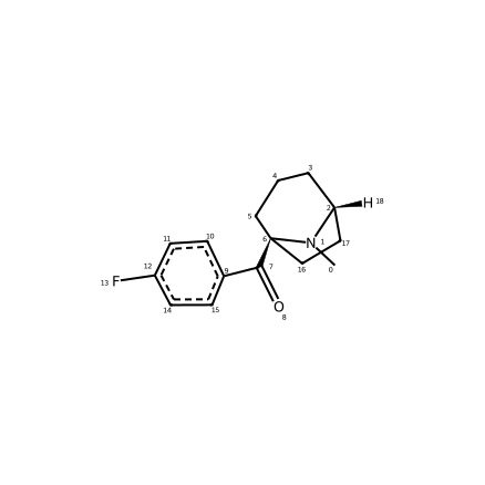 CN1[C@@H]2CCC[C@@]1(C(=O)c1ccc(F)cc1)CC2